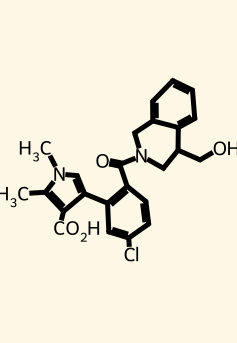 Cc1c(C(=O)O)c(-c2cc(Cl)ccc2C(=O)N2Cc3ccccc3C(CO)C2)cn1C